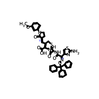 COc1cccc(N2CC/C(=C\C3=C(C(=O)O)N4C(=O)[C@@H](NC(=O)/C(=N\OC(c5ccccc5)(c5ccccc5)c5ccccc5)c5csc(N)n5)[C@H]4SC3)C2=O)c1